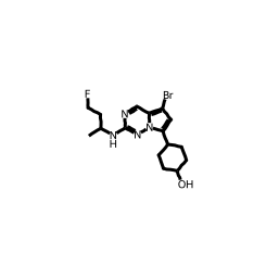 CC(CCF)Nc1ncc2c(Br)cc(C3CCC(O)CC3)n2n1